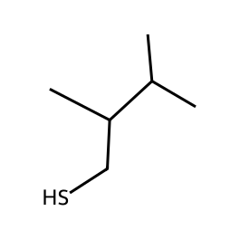 CC(C)C(C)CS